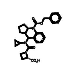 O=C(O)[C@@H]1CCN1C(=O)N(C1CC1)C1c2ccccc2N(C(=O)OCc2ccccc2)C2CCCC21